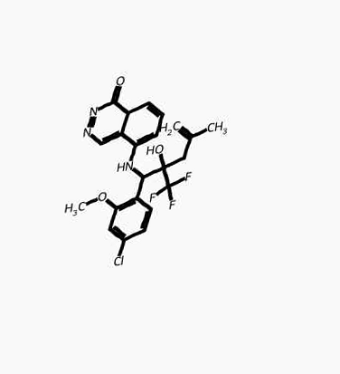 C=C(C)CC(O)(C(NC1=CC=CC2C(=O)N=NC=C12)c1ccc(Cl)cc1OC)C(F)(F)F